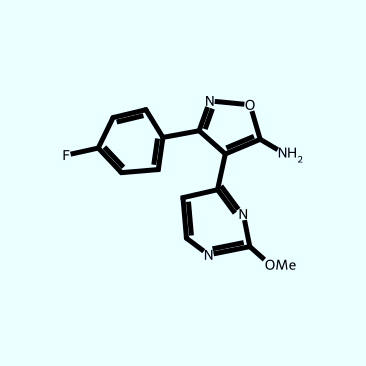 COc1nccc(-c2c(-c3ccc(F)cc3)noc2N)n1